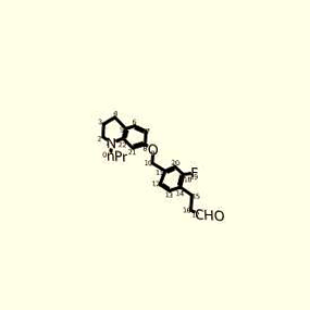 CCCN1CCCc2ccc(OCc3ccc(CCC=O)c(F)c3)cc21